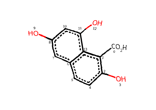 O=C(O)c1c(O)ccc2cc(O)cc(O)c12